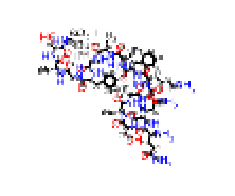 CC[C@H](C)[C@H](NC(=O)[C@H](CO)NC(=O)[C@@H](NC(=O)CNC(=O)[C@H](Cc1ccccc1)NC(=O)[C@@H](NC(=O)[C@H](C)NC(=O)[C@H](CC(C)C)NC(=O)[C@H](Cc1ccccc1)NC(=O)[C@H](CCCCN)NC(=O)[C@@H](NC(=O)[C@H](C)NC(=O)[C@@H](NC(=O)[C@H](CO)NC(=O)[C@H](CCC(N)=O)NC(=O)[C@@H](N)CCC(N)=O)[C@@H](C)CC)C(C)C)C(C)C)C(C)C)C(=O)O